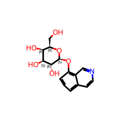 OC[C@H]1O[C@@H](Oc2cccc3ccncc23)[C@H](O)[C@@H](O)[C@H]1O